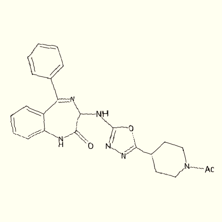 CC(=O)N1CCC(c2nnc(NC3N=C(c4ccccc4)c4ccccc4NC3=O)o2)CC1